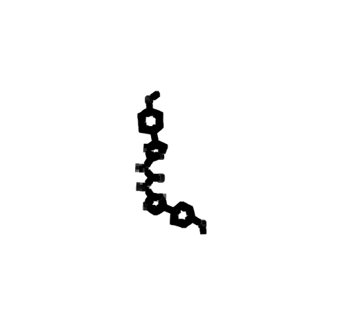 COc1ccc(-c2csc(NC(=O)Nc3nc(-c4ccc(OC)cc4)cs3)n2)cc1